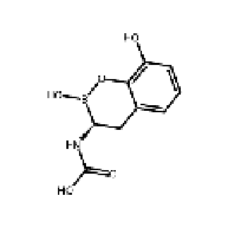 O=C(O)N[C@@H]1Cc2cccc(O)c2OB1O